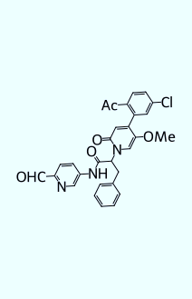 COc1cn(C(Cc2ccccc2)C(=O)Nc2ccc(C=O)nc2)c(=O)cc1-c1cc(Cl)ccc1C(C)=O